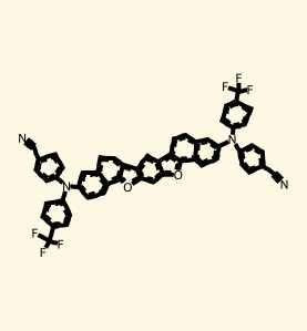 N#Cc1ccc(N(c2ccc(C(F)(F)F)cc2)c2ccc3c(ccc4c5cc6c(cc5oc34)oc3c4ccc(N(c5ccc(C#N)cc5)c5ccc(C(F)(F)F)cc5)cc4ccc63)c2)cc1